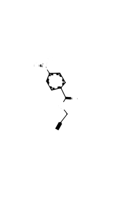 C#CCOC(=O)c1ccc([N+](=O)[O-])cc1